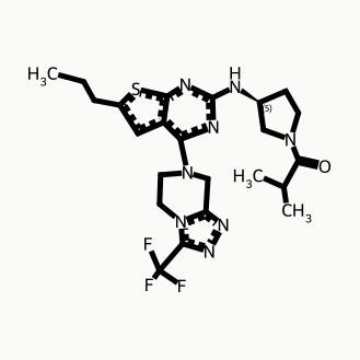 CCCc1cc2c(N3CCn4c(nnc4C(F)(F)F)C3)nc(N[C@H]3CCN(C(=O)C(C)C)C3)nc2s1